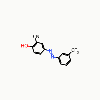 N#Cc1cc(N=Nc2cccc(C(F)(F)F)c2)ccc1O